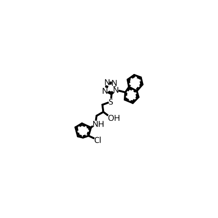 OC(CNc1ccccc1Cl)CSc1nnnn1-c1cccc2ccccc12